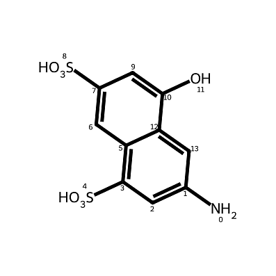 Nc1cc(S(=O)(=O)O)c2cc(S(=O)(=O)O)cc(O)c2c1